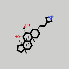 C[C@@]12CCC[C@H]1[C@@H]1[C@H](O)[C@H](CO)C3C[C@@H](CCC4CNC4)CC[C@]3(C)[C@H]1CC2